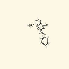 Cc1cccc2c(=O)cc(/C=C/c3ccccc3)oc12